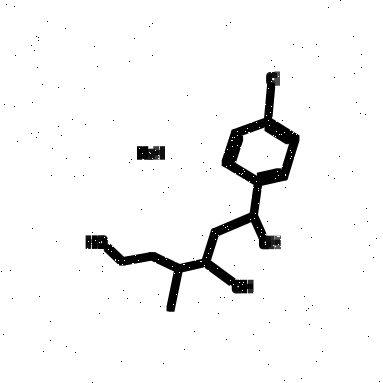 CC(CCO)C(O)CC(O)c1ccc(Cl)cc1.[NaH]